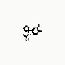 O=C(O)NC1(c2ccc(F)c(Br)c2)CCCC1